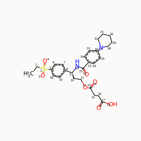 CCS(=O)(=O)c1ccc([C@H](CCOC(=O)CCC(=O)O)NC(=O)c2ccc(N3CCCCC3)cc2)cc1